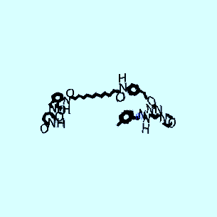 Cc1cccc(/C=N/Nc2cc(N3CCOCC3)nc(OCCc3ccc(NC(=O)CCCCCCCCCCC(=O)Nc4cccc5c4C(=O)N(C4CCC(=O)NC4=O)C5)cc3)n2)c1